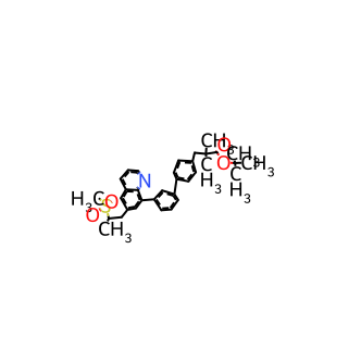 CC(Cc1cc(-c2cccc(-c3ccc(CC(C)(C)C(=O)OC(C)(C)C)cc3)c2)c2ncccc2c1)S(C)(=O)=O